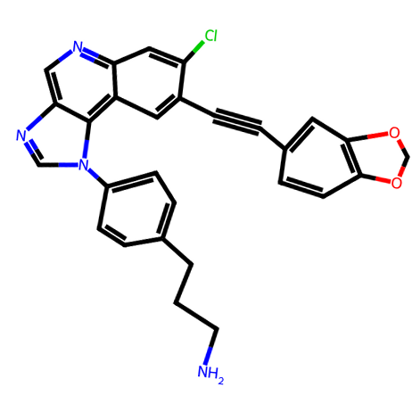 NCCCc1ccc(-n2cnc3cnc4cc(Cl)c(C#Cc5ccc6c(c5)OCO6)cc4c32)cc1